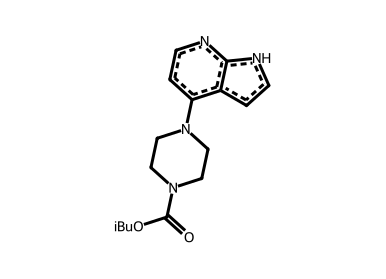 CC(C)COC(=O)N1CCN(c2ccnc3[nH]ccc23)CC1